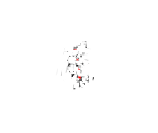 N[C@H](Cc1cc(F)c(F)cc1F)[C@H]1C[C@H]2CC[C@@H](C1)N2C(=O)CNC(=O)CN1CCOCC1